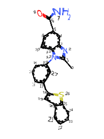 Cc1nc2cc(C(N)=O)ccc2n1-c1cccc(-c2cc3ccccc3s2)c1